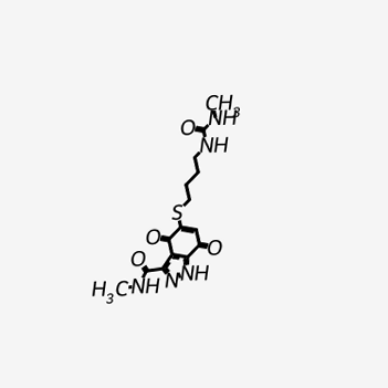 CNC(=O)NCCCCSC1=CC(=O)c2[nH]nc(C(=O)NC)c2C1=O